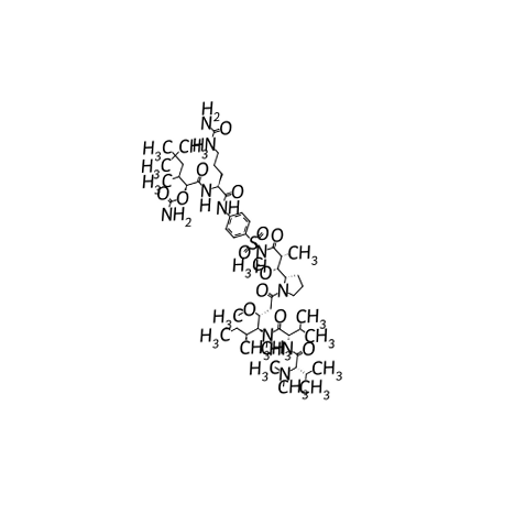 CC[C@H](C)[C@@H]([C@@H](CC(=O)N1CCC[C@H]1[C@H](OC)[C@@H](C)C(=O)NS(=O)(=O)c1ccc(NC(=O)[C@H](CCCNC(N)=O)NC(=O)[C@@H](OC(N)=O)C(C)CC(C)(C)C)cc1)OC)N(C)C(=O)[C@@H](NC(=O)[C@H](C(C)C)N(C)C)C(C)C